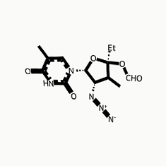 CC[C@@]1(OC=O)O[C@@H](n2cc(C)c(=O)[nH]c2=O)[C@@H](N=[N+]=[N-])C1C